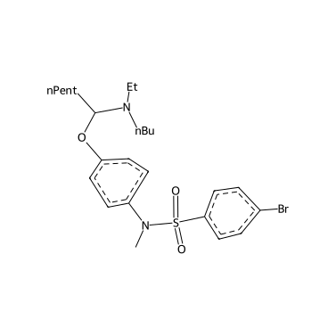 CCCCCC(Oc1ccc(N(C)S(=O)(=O)c2ccc(Br)cc2)cc1)N(CC)CCCC